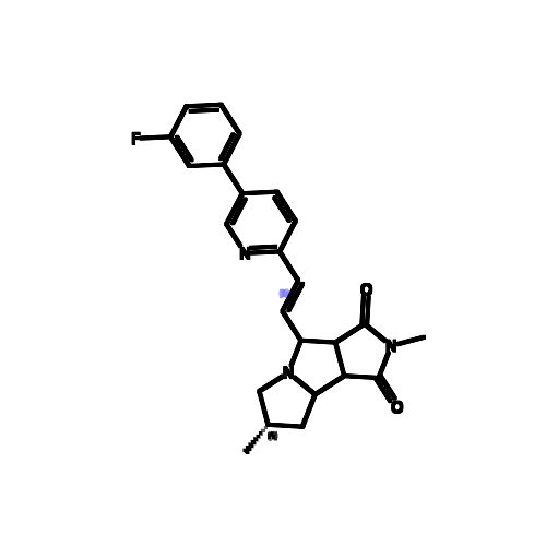 C[C@H]1CC2C3C(=O)N(C)C(=O)C3C(/C=C/c3ccc(-c4cccc(F)c4)cn3)N2C1